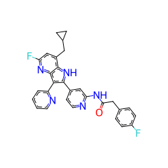 O=C(Cc1ccc(F)cc1)Nc1cc(-c2[nH]c3c(CC4CC4)cc(F)nc3c2-c2ccccn2)ccn1